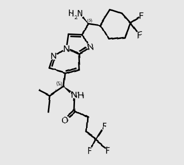 CC(C)[C@H](NC(=O)CCC(F)(F)F)c1cnn2cc([C@@H](N)C3CCC(F)(F)CC3)nc2c1